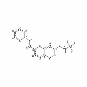 CC(C)(C)NCC1CCc2ccc(OCc3ccccc3)cc2O1